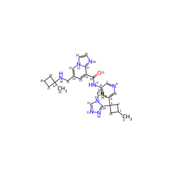 CC1CC(c2cncc(NC(=O)c3cc(CNC4(C)CCC4)cn4ccnc34)c2)(c2nncn2C)C1